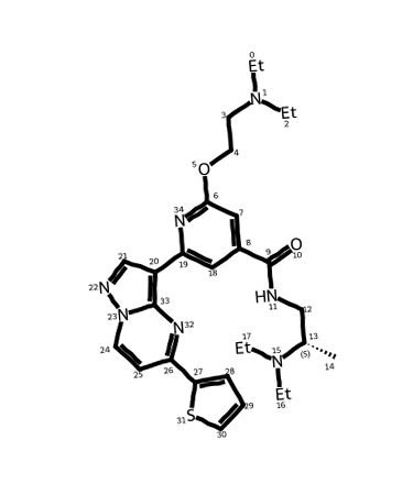 CCN(CC)CCOc1cc(C(=O)NC[C@H](C)N(CC)CC)cc(-c2cnn3ccc(-c4cccs4)nc23)n1